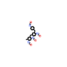 Cc1cc(Cc2ccc(N=C=O)c(Cc3ccc(N=C=O)cc3)c2)c(N=C=O)cc1N=C=O